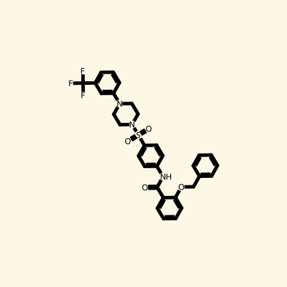 O=C(Nc1ccc(S(=O)(=O)N2CCN(c3cccc(C(F)(F)F)c3)CC2)cc1)c1ccccc1OCc1ccccc1